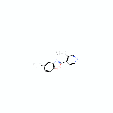 CSc1cnccc1-c1nc2cc(C(F)(F)F)ccc2o1